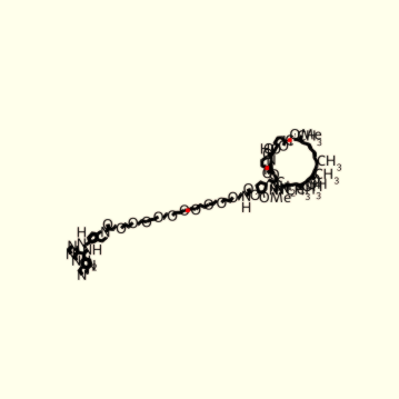 CO[C@H]1C[C@@H]2CCC[C@@](O)(O2)C(=O)C(=O)N2CCCC[C@H]2C(=O)O[C@H]([C@H](N)C[C@@H]2CC[C@@H](OC(=O)NCCOCCOCCOCCOCCOCCOCCOCCOCCOCCOCCC(=O)N3CCc4cc(CNc5ncnc(N)c5C(=N)c5cnc6c(c5)C=NC6)ccc4C3)[C@H](OC)C2)CC(N=[N+]=[N-])[C@H](C)/C=C(\C)[C@@H](O)[C@@H](O)C(=O)[C@H](C)C[C@H](C)/C=C/C=C/C=C/1C